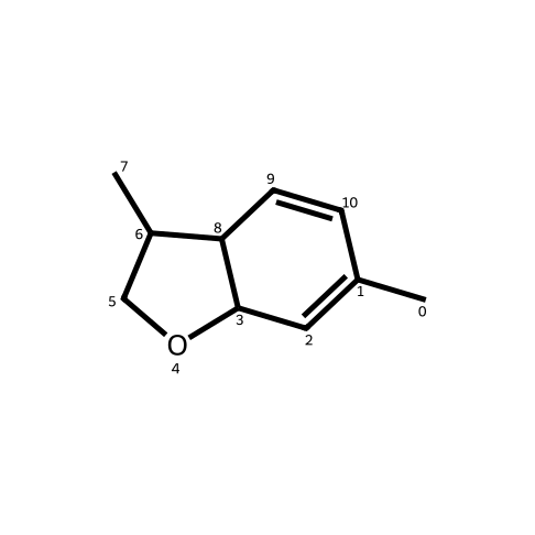 CC1=CC2OCC(C)C2C=C1